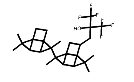 CC1(C)C2C3C(C)(C4(C)C5C6C(C)(C)C67C(CC(O)(C(F)(F)F)C(F)(F)F)CC547)C34CCC214